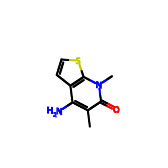 Cc1c(N)c2ccsc2n(C)c1=O